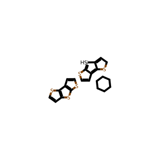 C1=C2[SiH]=c3sccc3=C2SC1.C1CCCCC1.c1cc2c(s1)sc1ccsc12